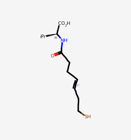 CC(C)[C@H](NC(=O)CC/C=C/CCS)C(=O)O